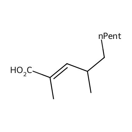 CCCCCCC(C)C=C(C)C(=O)O